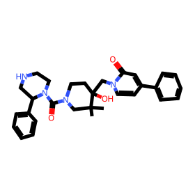 CC1(C)CN(C(=O)N2CCNCC2c2ccccc2)CCC1(O)Cn1ccc(-c2ccccc2)cc1=O